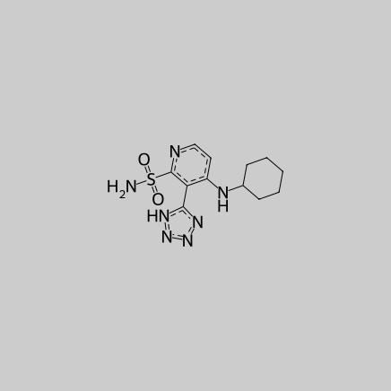 NS(=O)(=O)c1nccc(NC2CCCCC2)c1-c1nnn[nH]1